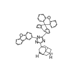 c1ccc2c(c1)Oc1ccccc1C21c2ccccc2-c2c(-c3nc(-c4ccc5oc6ccccc6c5c4)nc(C45CC6C[C@@H]7C[C@@H](C4)CC67C5)n3)cccc21